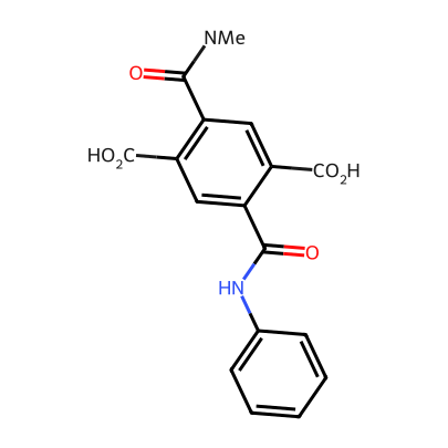 CNC(=O)c1cc(C(=O)O)c(C(=O)Nc2ccccc2)cc1C(=O)O